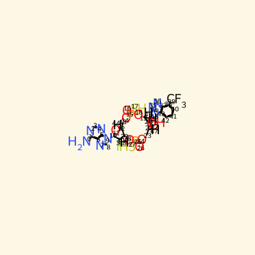 Nc1ncnc2c1ncn2[C@@H]1O[C@@H]2CO[P@@](=O)(S)O[C@@H]3[C@H](O)[C@@H](CO[P@@](=O)(S)O[C@H]2[C@H]1F)O[C@H]3n1nnc2c(C(F)(F)F)cccc21